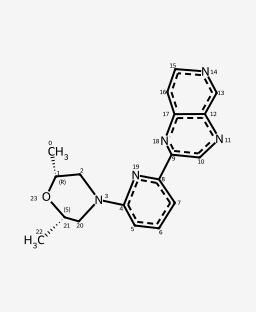 C[C@@H]1CN(c2cccc(-c3cnc4cnccc4n3)n2)C[C@H](C)O1